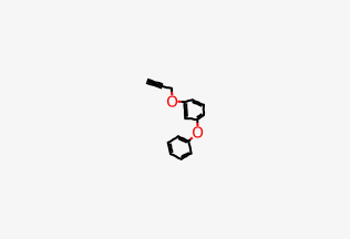 C#CCOc1cccc(Oc2ccccc2)c1